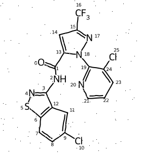 O=C(Nc1nsc2ccc(Cl)cc12)c1cc(C(F)(F)F)nn1-c1ncccc1Cl